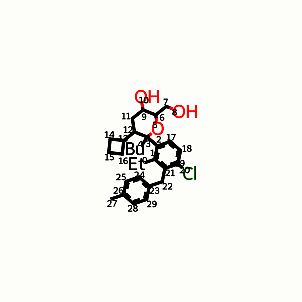 CCc1c(C2(C(C)CC)OC(CO)C(O)CC2C2CCC2)ccc(Cl)c1Cc1ccc(C)cc1